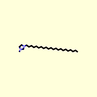 CCCCCCCCCCCCCCCCCCCCCCN1CCN(C)C1